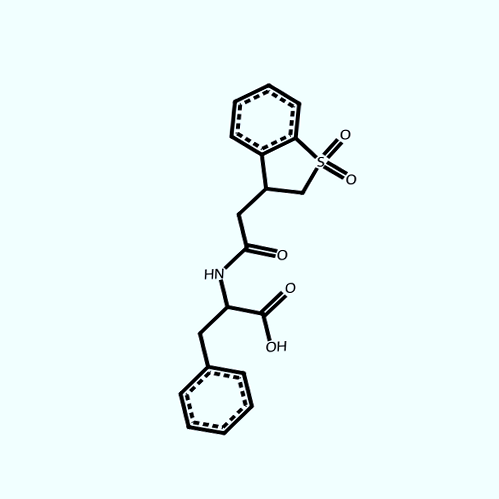 O=C(CC1CS(=O)(=O)c2ccccc21)NC(Cc1ccccc1)C(=O)O